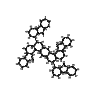 c1ccc2c(c1)sc1c(-c3cc4cc5c(cc(-c6cccc7c6sc6ccccc67)c6ccc7c8ccccc8sc7c65)cc4c4c3ccc3c5ccccc5sc34)cccc12